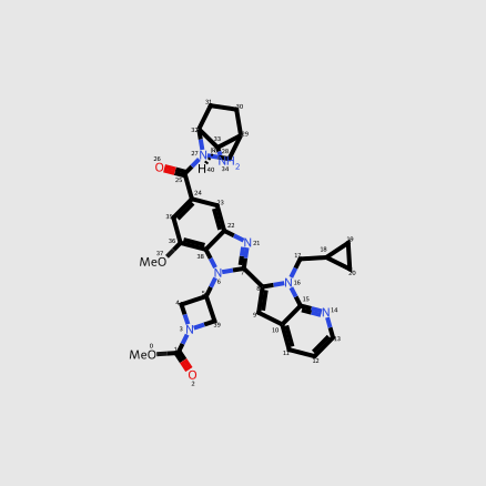 COC(=O)N1CC(n2c(-c3cc4cccnc4n3CC3CC3)nc3cc(C(=O)N4CC5CCC4[C@@H]5N)cc(OC)c32)C1